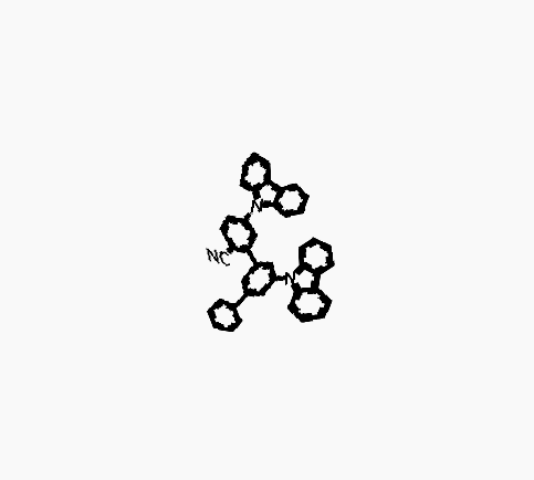 N#Cc1ccc(-n2c3ccccc3c3ccccc32)cc1-c1cc(-c2ccccc2)cc(-n2c3ccccc3c3ccccc32)c1